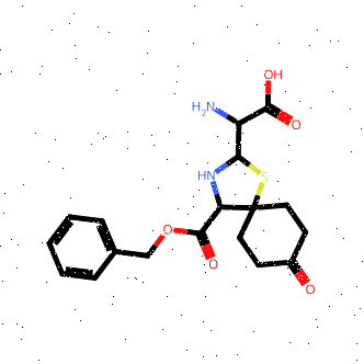 NC(C(=O)O)C1NC(C(=O)OCc2ccccc2)C2(CCC(=O)CC2)S1